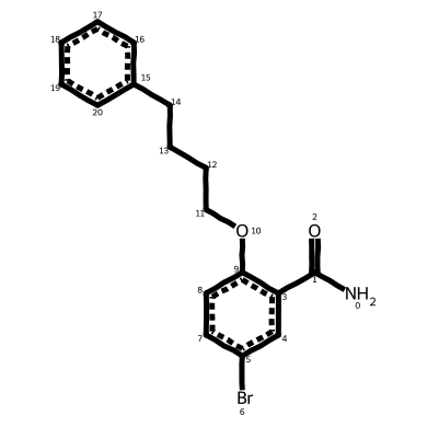 NC(=O)c1cc(Br)ccc1OCCCCc1ccccc1